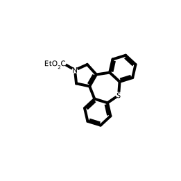 CCOC(=O)N1CC2=C(C1)c1ccccc1Sc1ccccc12